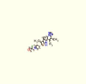 Cc1c(-c2[nH]c3sc([C@@H]4CC5CC4CN5CC4(F)COC4)c(C)c3c2C(C)C)cn2ncnc2c1C